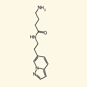 NCCCC(=O)NCCc1ccc2ccnn2c1